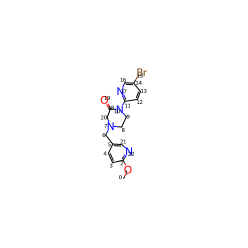 COc1ccc(CN2CCN(c3ccc(Br)cn3)C(=O)C2)cn1